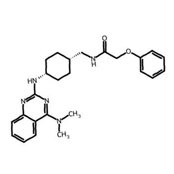 CN(C)c1nc(N[C@H]2CC[C@@H](CNC(=O)COc3ccccc3)CC2)nc2ccccc12